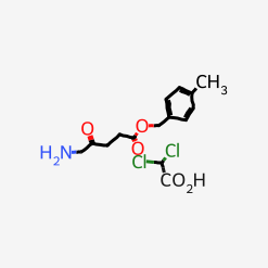 Cc1ccc(COC(=O)CCC(=O)CN)cc1.O=C(O)C(Cl)Cl